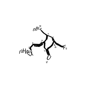 CCCCCC/C=C1\C(=O)C(F)=CC1CCCC